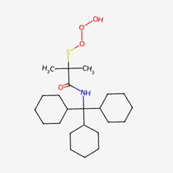 CC(C)(SOOO)C(=O)NC(C1CCCCC1)(C1CCCCC1)C1CCCCC1